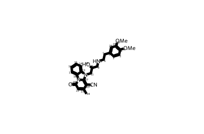 COc1ccc(CCNCC(O)Cn2c3ccccc3n3c(=O)cc(C)c(C#N)c23)cc1OC